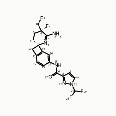 NC1=N[C@]2(CC[C@@]1(F)CF)Cc1ccc(NC(=O)c3ccn(C(F)F)n3)cc12